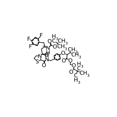 CC(C)C(Oc1ccc(CNC(=O)C2SCCN2C(=O)C[C@@H](Cc2cc(F)c(F)cc2F)NC(=O)OC(C)(C)C)cc1)C(=O)OCOC(=O)C(C)(C)C